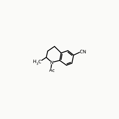 CC(=O)N1c2ccc(C#N)cc2CCC1C